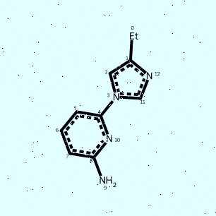 CCc1cn(-c2cccc(N)n2)cn1